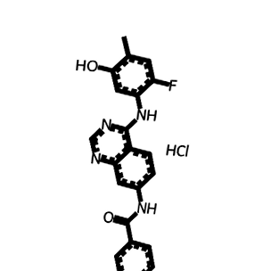 Cc1cc(F)c(Nc2ncnc3cc(NC(=O)c4ccncc4)ccc23)cc1O.Cl